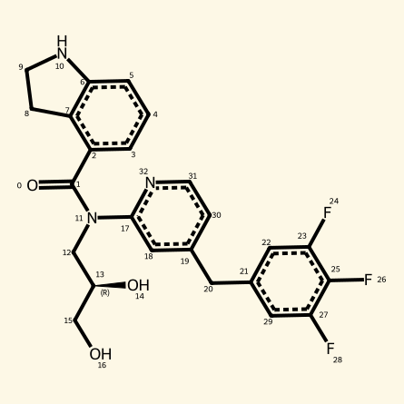 O=C(c1cccc2c1CCN2)N(C[C@@H](O)CO)c1cc(Cc2cc(F)c(F)c(F)c2)ccn1